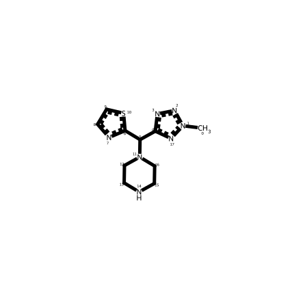 Cn1nnc(C(c2nccs2)N2CCNCC2)n1